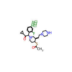 CC(=O)SC1CCN(C(C(=O)C2CC2)c2ccccc2F)C/C1=C\CN1CCNCC1.Cl.Cl.Cl